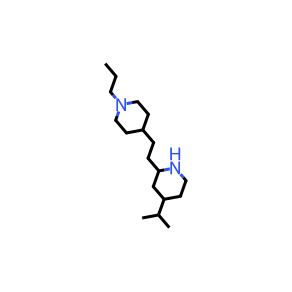 CCCN1CCC(CCC2CC(C(C)C)CCN2)CC1